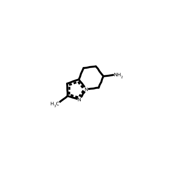 Cc1cc2n(n1)CC(N)CC2